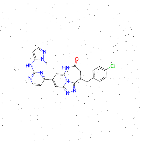 Cn1nccc1Nc1nccc(-c2cc3n4c(nnc4c2)C(Cc2ccc(Cl)cc2)CC(=O)N3)n1